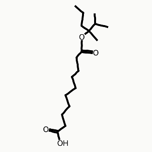 CCCC(C)(OC(=O)CCCCCCCCC(=O)O)C(C)C